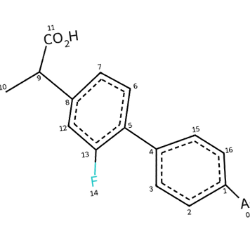 CC(=O)c1ccc(-c2ccc(C(C)C(=O)O)cc2F)cc1